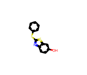 Oc1ccc2nc(Sc3ccccc3)sc2c1